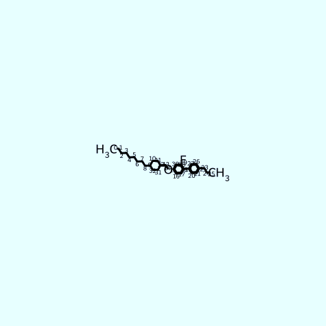 CCCCCCCCCC1CCC(COc2ccc(-c3ccc(CCC)cc3)c(F)c2)CC1